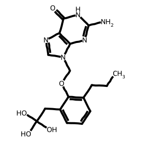 CCCc1cccc(CC(O)(O)O)c1OCn1cnc2c(=O)[nH]c(N)nc21